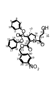 C[C@H]1C(P(=O)(Oc2ccccc2)Oc2ccccc2)=C(C(=O)OCc2ccc([N+](=O)[O-])cc2)N2C(=O)[C@@H]([C@@H](C)O)C12